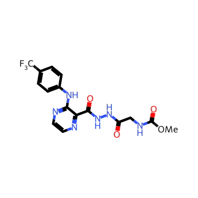 COC(=O)NCC(=O)NNC(=O)c1nccnc1Nc1ccc(C(F)(F)F)cc1